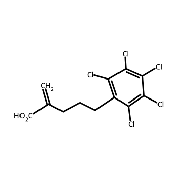 C=C(CCCc1c(Cl)c(Cl)c(Cl)c(Cl)c1Cl)C(=O)O